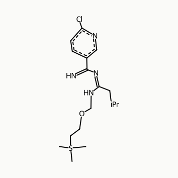 CC(C)C/C(=N/C(=N)c1ccc(Cl)nc1)NCOCCS(C)(C)C